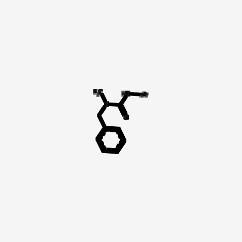 CCCNC(=O)N(Cc1ccccc1)C(F)(F)F